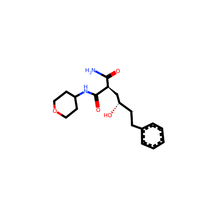 NC(=O)[C@@H](C[C@@H](O)[CH]Cc1ccccc1)C(=O)NC1CCOCC1